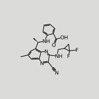 Cc1cc([C@@H](C)Nc2ccccc2C(=O)O)c2nc(NCC3CC3(F)F)c(C#N)nc2c1